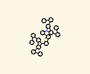 c1ccc(-c2ccccc2-c2ccc3c(c2)-c2cc(-c4ccccc4-c4ccccc4)ccc2C3c2cccc3c2sc2c(-c4ccccc4-n4c5ccc(-c6ccccc6-c6ccccc6)cc5c5cc(-c6ccccc6-c6ccccc6)ccc54)cccc23)cc1